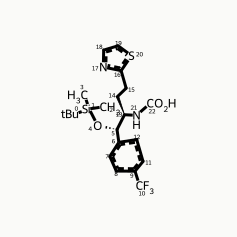 CC(C)(C)[Si](C)(C)O[C@@H](c1ccc(C(F)(F)F)cc1)[C@@H](CCc1nccs1)NC(=O)O